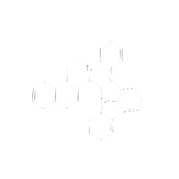 Cc1c(-c2c3c(c4cccc5c6ccccc6n3c54)c3ccccc3[n+]2C)ccc2ccccc12